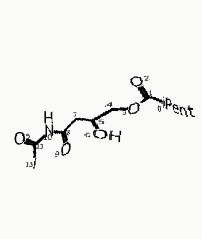 CCCC(C)C(=O)OCC(O)CC(=O)NC(=O)I